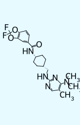 Cc1cnc(NC[C@H]2CC[C@@H](NC(=O)c3ccc4c(c3)OC(F)(F)O4)CC2)nc1N(C)C